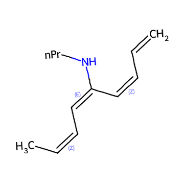 C=C\C=C/C(=C\C=C/C)NCCC